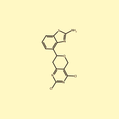 Nc1nc2c(C3Cc4nc(Cl)nc(Cl)c4CO3)cccc2s1